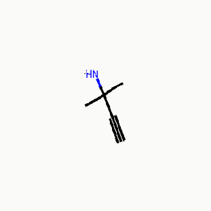 C#CC(C)(C)[NH]